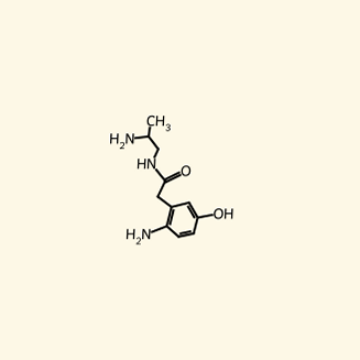 CC(N)CNC(=O)Cc1cc(O)ccc1N